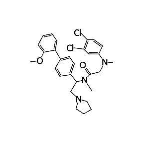 COc1ccccc1-c1ccc(C(CN2CCCC2)N(C)C(=O)CN(C)c2ccc(Cl)c(Cl)c2)cc1